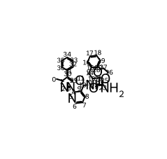 Cc1nn(-c2ncccc2C(=O)NC(Cc2ccccc2)C2(C(N)=O)OCCO2)cc1-c1ccccc1